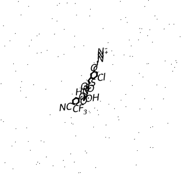 N#Cc1ccc(OP(=O)(O)CNS(=O)(=O)c2cc3cc(OCCN=[N+]=[N-])cc(Cl)c3s2)cc1C(F)(F)F